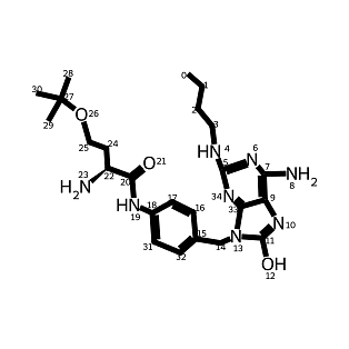 CCCCNc1nc(N)c2nc(O)n(Cc3ccc(NC(=O)[C@@H](N)CCOC(C)(C)C)cc3)c2n1